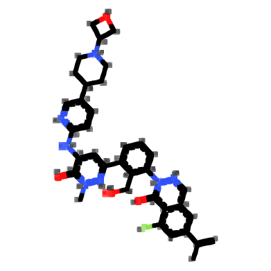 C=C(C)c1cc(F)c2c(=O)n(-c3cccc(-c4cc(Nc5ccc(C6CCN(C7COC7)CC6)cn5)c(=O)n(C)n4)c3CO)ncc2c1